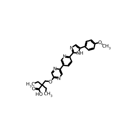 CCC(CC)(COc1cnc(-c2ccc(-c3ncc(-c4ccc(OC)cc4)[nH]3)nc2)cn1)C(=O)O